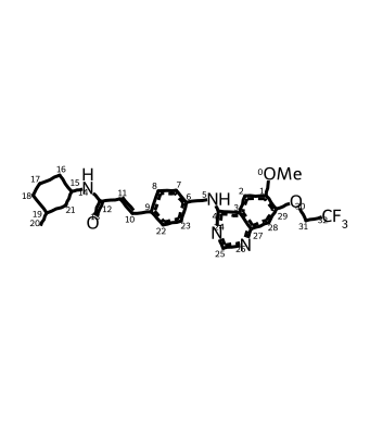 COc1cc2c(Nc3ccc(/C=C/C(=O)NC4CCCC(C)C4)cc3)ncnc2cc1OCC(F)(F)F